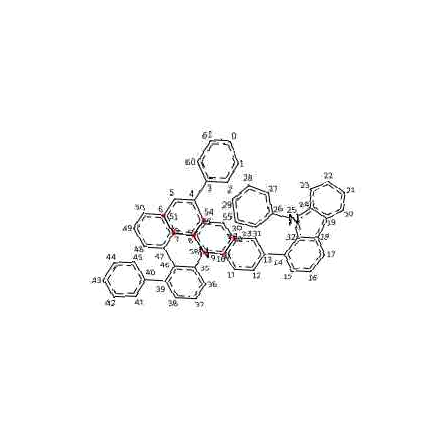 c1ccc(-c2cccc(N(c3ccc(-c4cccc5c6ccccc6n(-c6ccccc6)c45)cc3)c3cccc(-c4ccccc4)c3-c3ccccc3-c3ccccc3)c2)cc1